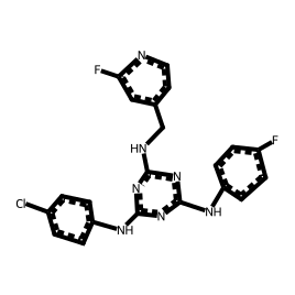 Fc1ccc(Nc2nc(NCc3ccnc(F)c3)nc(Nc3ccc(Cl)cc3)n2)cc1